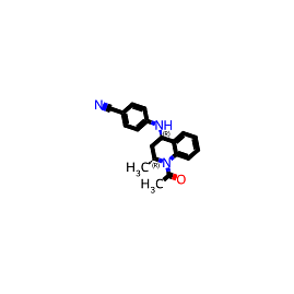 CC(=O)N1c2ccccc2[C@H](Nc2ccc(C#N)cc2)C[C@H]1C